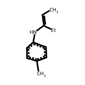 C/C=C(\CC)Nc1ccc(C)cc1